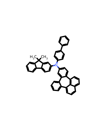 CC1(C)c2ccccc2-c2ccc(N(c3ccc(-c4ccccc4)cc3)c3ccc4c(c3)-c3ccccc3-c3cccc5cccc-4c35)cc21